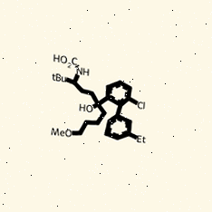 CCc1cccc(-c2c(Cl)cccc2C(O)(CCCCOC)CCC(NC(=O)O)C(C)(C)C)c1